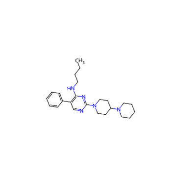 CCCCNc1nc(N2CCC(N3CCCCC3)CC2)ncc1-c1ccccc1